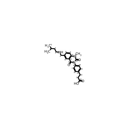 CC(C)CCNCc1ccc2c(c1)c(=O)n(-c1ccc(CCC(=O)O)cc1)c(=O)n2C